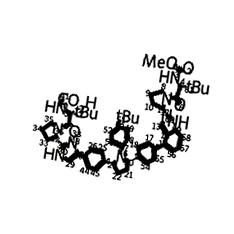 COC(=O)N[C@H](C(=O)N1CCC[C@@H]1N1C=C2C(c3ccc([C@@H]4CC[C@@H](c5ccc(-c6c[nH]c([C@@H]7CCCN7C(=O)[C@@H](NC(=O)O)C(C)(C)C)n6)cc5)N4c4ccc(C(C)(C)C)cc4)cc3)=CC=CC2N1)C(C)(C)C